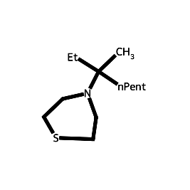 CCCCCC(C)(CC)N1CCSCC1